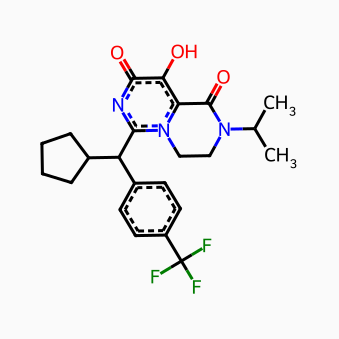 CC(C)N1CCn2c(C(c3ccc(C(F)(F)F)cc3)C3CCCC3)nc(=O)c(O)c2C1=O